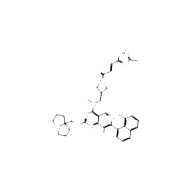 Cc1noc(/C=C/C(=O)N2CC(CN(C)c3nc(OCC45CCCN4CCC5)nc4c(F)c(-c5cccc6cccc(Cl)c56)ncc34)C2)n1